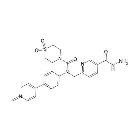 C=N/C=C\C(=C/C)c1ccc(N(Cc2ccc(C(=O)NN)cn2)C(=O)N2CCS(=O)(=O)CC2)cc1